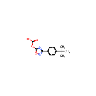 CC(C)(C)c1ccc(-c2noc(OC(=O)O)n2)cc1